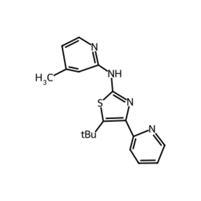 Cc1ccnc(Nc2nc(-c3ccccn3)c(C(C)(C)C)s2)c1